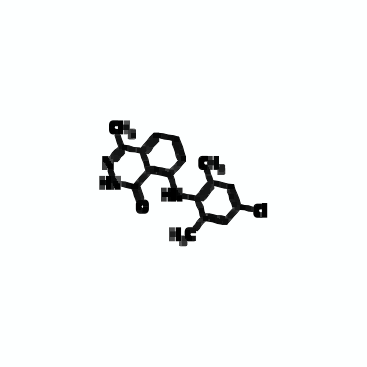 Cc1cc(Cl)cc(C)c1Nc1cccc2c(C)n[nH]c(=O)c12